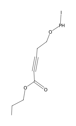 CCCOC(=O)C#CCCOPI